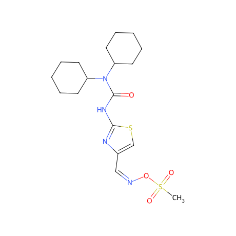 CS(=O)(=O)O/N=C\c1csc(NC(=O)N(C2CCCCC2)C2CCCCC2)n1